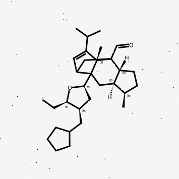 CC(C)C1=CC2CC3(C=O)[C@@H]4CC[C@@H](C)[C@H]4CC2([C@H]2C[C@@H](CC4CCCC4)[C@@H](CI)O2)[C@]13C